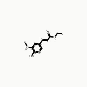 CCOC(=O)C=Cc1cnc(Cl)c(OC)c1